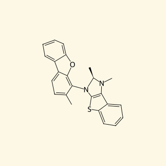 Cc1ccc2c(oc3ccccc32)c1N1c2sc3ccccc3c2N(C)[C@@H]1C